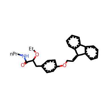 CCCNC(=O)C(Cc1ccc(OCC=C2c3ccccc3-c3ccccc32)cc1)OCC